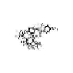 Cc1cc(C(F)(F)F)cnc1C(=O)Nc1ccc2c(c1)[C@@]1(C)N=C(N)C(C)(C)S(O)(O)[C@@H]1CC(C)(C)O2